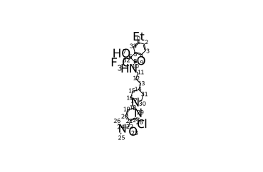 CCc1cccc(C(O)(C(=O)NCCCC2CCN(c3ccc(C(=O)N(C)C)c(Cl)n3)CC2)C(F)(F)F)c1